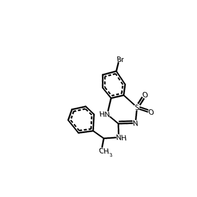 CC(NC1=NS(=O)(=O)c2cc(Br)ccc2N1)c1ccccc1